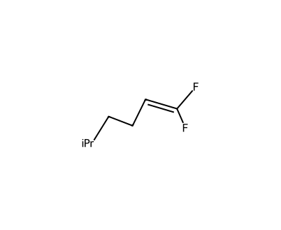 CC(C)CCC=C(F)F